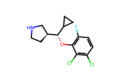 Fc1ccc(Cl)c(Cl)c1O[C@@H](C1CC1)[C@H]1CCNC1